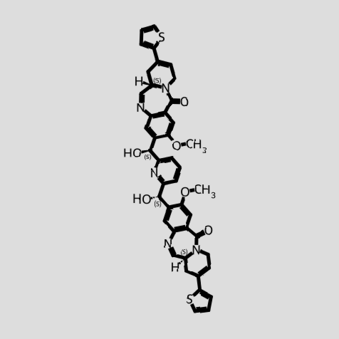 COc1cc2c(cc1[C@H](O)c1cccc([C@@H](O)c3cc4c(cc3OC)C(=O)N3CC=C(c5cccs5)C[C@H]3C=N4)n1)N=C[C@@H]1CC(c3cccs3)=CCN1C2=O